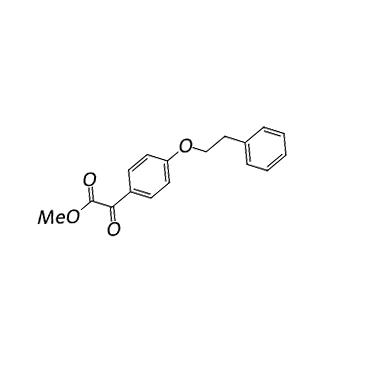 COC(=O)C(=O)c1ccc(OCCc2ccccc2)cc1